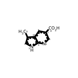 Cc1c[nH]c2ncc(C(=O)O)cc12